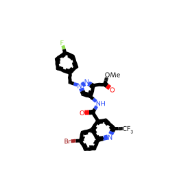 COC(=O)c1nn(Cc2ccc(F)cc2)cc1NC(=O)c1cc(C(F)(F)F)nc2ccc(Br)cc12